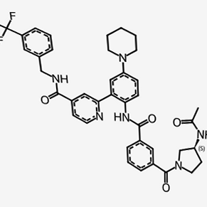 CC(=O)N[C@H]1CCN(C(=O)c2cccc(C(=O)Nc3ccc(N4CCCCC4)cc3-c3cc(C(=O)NCc4cccc(C(F)(F)F)c4)ccn3)c2)C1